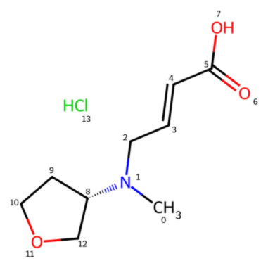 CN(C/C=C/C(=O)O)[C@H]1CCOC1.Cl